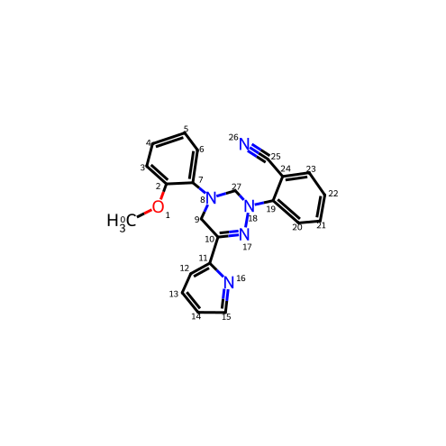 COc1ccccc1N1CC(c2ccccn2)=NN(c2ccccc2C#N)C1